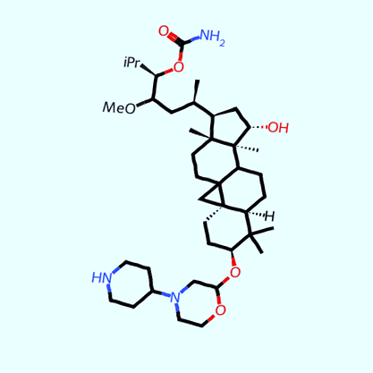 COC(C[C@@H](C)[C@H]1C[C@H](O)[C@@]2(C)C3CC[C@H]4C(C)(C)[C@@H](OC5CN(C6CCNCC6)CCO5)CC[C@@]45CC35CC[C@]12C)[C@H](OC(N)=O)C(C)C